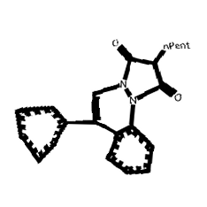 CCCCCC1C(=O)N2C=C(c3ccccc3)c3ccccc3N2C1=O